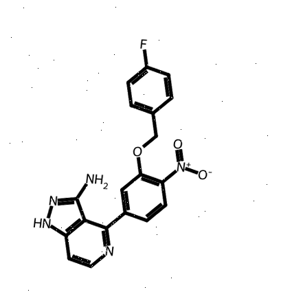 Nc1n[nH]c2ccnc(-c3ccc([N+](=O)[O-])c(OCc4ccc(F)cc4)c3)c12